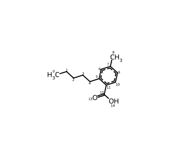 CCCCCc1cc(C)ccc1C(=O)O